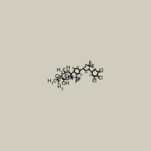 CC(C)(CN(C(=O)O)C(C)(C)C)NC(=O)c1ccc(C=CC(c2cc(Cl)c(Cl)c(Cl)c2)C(F)(F)F)cc1C(F)(F)F